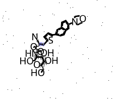 N#C/C(=C\c1ccc(-c2ccc3cc(N4CCOCC4)ccc3c2)s1)S(=O)(=O)N[C@H]1C(O)O[C@H](CO)[C@@H](O)[C@@H]1O